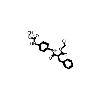 CCOC(=O)C(Cc1ccccc1)C(=O)Nc1ccc(NC(=O)OC)cc1